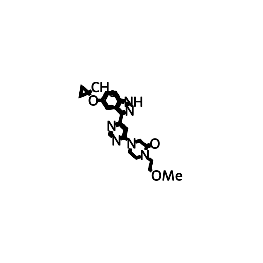 COCCN1CCN(c2cc(-c3n[nH]c4ccc(OC5(C)CC5)cc34)ncn2)CC1=O